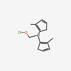 CC1=[C]([Zr]([CH2]OCl)[C]2=C(C)C=CC2)CC=C1